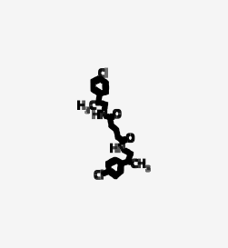 CC(CNC(=O)CCCC(=O)NCC(C)c1ccc(Cl)cc1)c1ccc(Cl)cc1